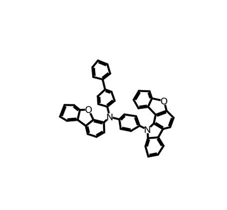 c1ccc(-c2ccc(N(c3ccc(-n4c5ccccc5c5ccc6oc7ccccc7c6c54)cc3)c3cccc4c3oc3ccccc34)cc2)cc1